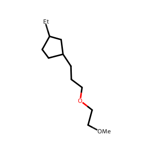 CCC1CCC(CCCOCCOC)C1